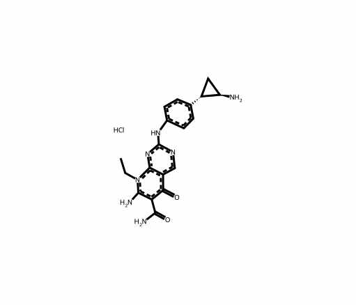 CCn1c(N)c(C(N)=O)c(=O)c2cnc(Nc3ccc([C@@H]4C[C@H]4N)cc3)nc21.Cl